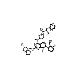 CN(c1nc(OC[C@@]23CCCN2C[C@H](F)C3)nc2c(F)c(-c3cccc(F)c3C3CC3)ncc12)[C@@H]1CCN(C(=O)/C(F)=C/c2ccccn2)C1